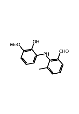 COc1cccc(Pc2c(C)cccc2C=O)c1O